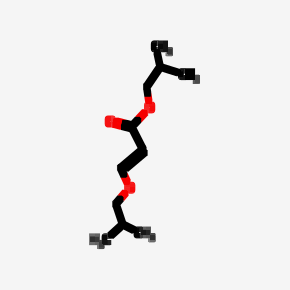 CC(C)COC=CC(=O)OCC(C)C